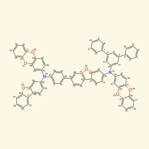 c1ccc(-c2cc(-c3ccccc3)cc(N(c3ccc4c(c3)Oc3ccccc3O4)c3ccc4c(c3)oc3cc(-c5ccc(N(c6ccc7c(c6)Oc6ccccc6O7)c6ccc7c(c6)oc6ccccc67)cc5)ccc34)c2)cc1